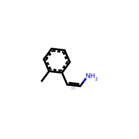 Cc1ccccc1/C=C\N